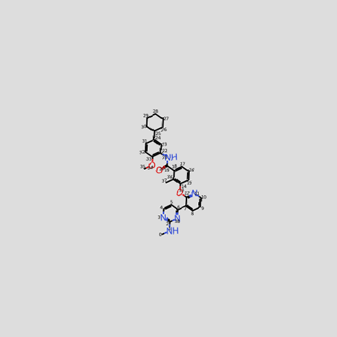 CNc1nccc(-c2cccnc2Oc2cccc(C(=O)Nc3cc(C4CCCCC4)ccc3OC)c2C)n1